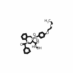 CC=C=CCOc1ccc(S(=O)(=O)N2Cc3ccccc3N(C(=O)c3ccccc3)CC2C(=O)NO)cc1